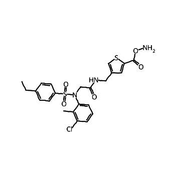 CCc1ccc(S(=O)(=O)N(CC(=O)NCc2csc(C(=O)ON)c2)c2cccc(Cl)c2C)cc1